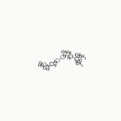 COc1cc(-c2cn(C)c(=O)c(C)c2C)cnc1CN1CCC(C2CCN(c3ccc(NC4CCC(=O)NC4=O)cc3F)CC2)CC1